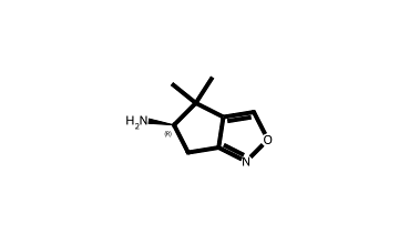 CC1(C)c2conc2C[C@H]1N